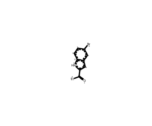 CCC(=O)c1cc2cc(Br)ccc2[nH]1